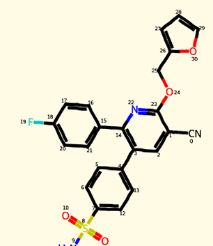 N#Cc1cc(-c2ccc(S(N)(=O)=O)cc2)c(-c2ccc(F)cc2)nc1OCc1ccco1